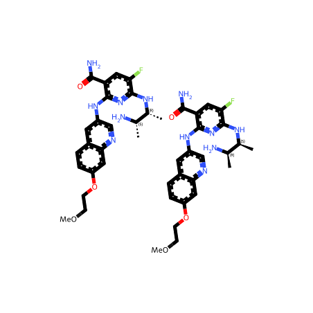 COCCOc1ccc2cc(Nc3nc(N[C@@H](C)[C@@H](C)N)c(F)cc3C(N)=O)cnc2c1.COCCOc1ccc2cc(Nc3nc(N[C@H](C)[C@H](C)N)c(F)cc3C(N)=O)cnc2c1